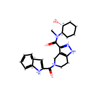 CN(C(=O)c1n[nH]c2c1CN(C(=O)c1cc3ccccc3[nH]1)CC2)[C@@H]1CCCC[C@H]1O